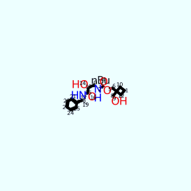 CCCC[C@H](NC(=O)OCC1(CO)CCC1)C(O)C(=O)N[C@H](C)c1ccccc1